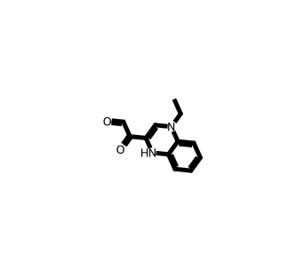 CCN1C=C(C(=O)C=O)Nc2ccccc21